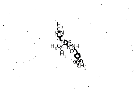 Cc1ncc(CN2Cc3sc(NC(=O)Cc4ccc(S(C)(=O)=O)cc4)nc3[C@@H]2C(C)C)cn1